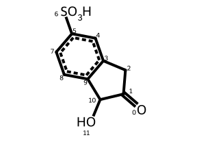 O=C1Cc2cc(S(=O)(=O)O)ccc2C1O